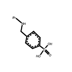 CC(C)NCc1ccc(P(=O)(O)O)cc1